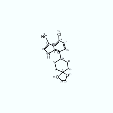 N#Cc1c[nH]c2c(N3CCC4(CC3)OCCO4)ccc(Cl)c12